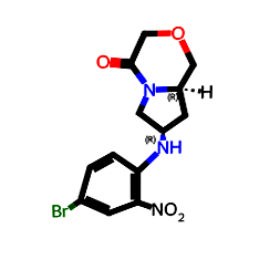 O=C1COC[C@H]2C[C@@H](Nc3ccc(Br)cc3[N+](=O)[O-])CN12